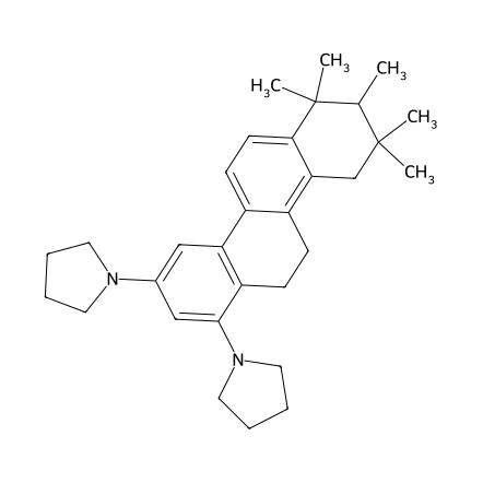 CC1C(C)(C)Cc2c(ccc3c2CCc2c-3cc(N3CCCC3)cc2N2CCCC2)C1(C)C